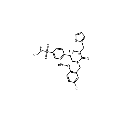 CCCNS(=O)(=O)c1ccc(CCN(Cc2cc(Cl)ccc2OCCC)C(=O)[C@@H](N)Cc2cccs2)cc1